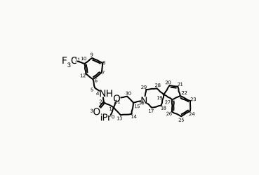 CC(C)C1(C(=O)NCc2cccc(C(F)(F)F)c2)CCC(N2CCC3(C=Cc4ccccc43)CC2)CO1